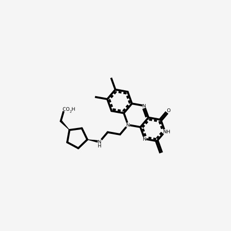 C=c1nc2c(c(=O)[nH]1)=Nc1cc(C)c(C)cc1N2CCN[C@H]1CC[C@@H](CC(=O)O)C1